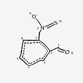 O=[C]c1ccccc1[N+]([O-])=S